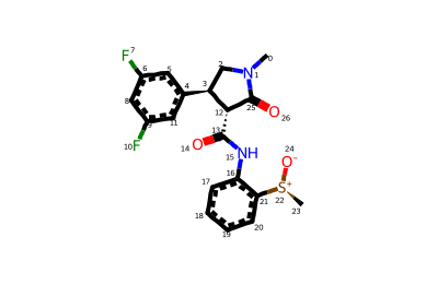 CN1C[C@H](c2cc(F)cc(F)c2)[C@@H](C(=O)Nc2ccccc2[S@+](C)[O-])C1=O